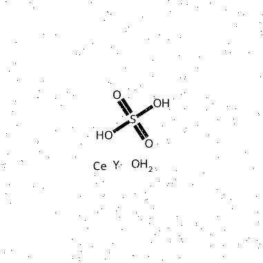 O.O=S(=O)(O)O.[Ce].[Y]